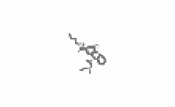 CCCCNC(=S)c1ccc2c(c1)N(C(C)CN(C)CC)c1ccccc1S2.Cl